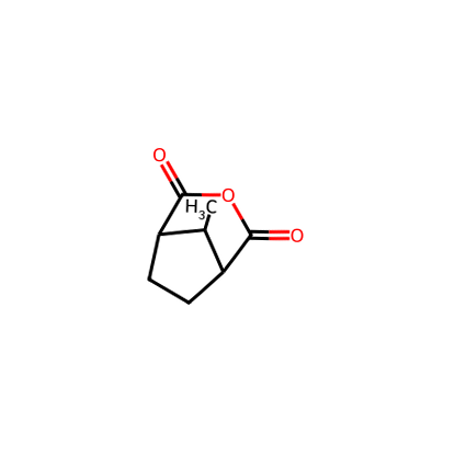 CC1C2CCC1C(=O)OC2=O